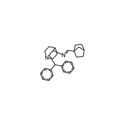 C(=NC1C2CCN(CC2)C1C(c1ccccc1)c1ccccc1)C12CCC(CC1)C2